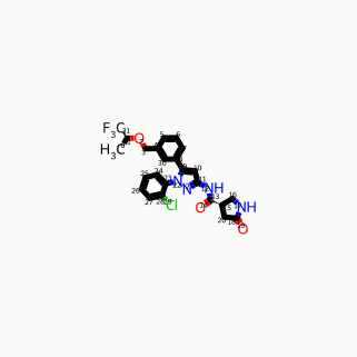 C[C@@H](OCc1cccc(-c2cc(NC(=O)[C@@H]3CNC(=O)C3)nn2-c2ccccc2Cl)c1)C(F)(F)F